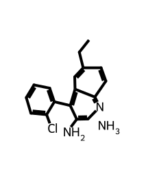 CCc1ccc2ncc(N)c(-c3ccccc3Cl)c2c1.N